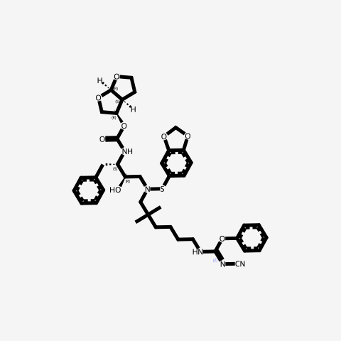 CC(C)(CCCCN/C(=N/C#N)Oc1ccccc1)CN(C[C@@H](O)[C@H](Cc1ccccc1)NC(=O)O[C@H]1CO[C@H]2OCC[C@H]21)Sc1ccc2c(c1)OCO2